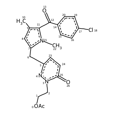 CC(=O)OCCn1nc(Cc2cc(C)c(C(=O)c3ccc(Cl)cc3)n2C)ccc1=O